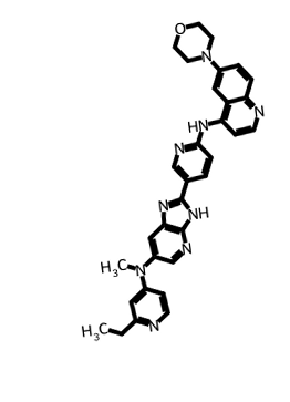 CCc1cc(N(C)c2cnc3[nH]c(-c4ccc(Nc5ccnc6ccc(N7CCOCC7)cc56)nc4)nc3c2)ccn1